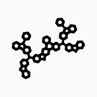 c1ccc(-n2c3ccccc3c3cc(N(c4ccc5oc6cc7c8ccc(N(c9ccc%10sc%11ccccc%11c%10c9)c9ccc%10c(c9)c9ccccc9n%10-c9ccccc9)cc8c8ccccc8c7cc6c5c4)c4ccc5sc6ccccc6c5c4)ccc32)cc1